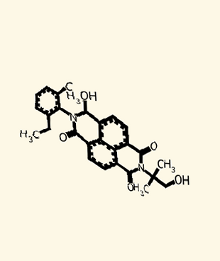 CCc1cccc(C)c1N1C(=O)c2ccc3c4c(ccc(c24)C1O)C(=O)N(C(C)(C)CO)C3=O